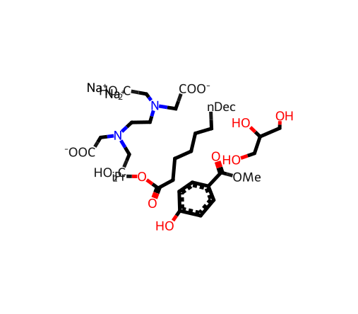 CCCCCCCCCCCCCCCC(=O)OC(C)C.COC(=O)c1ccc(O)cc1.O=C([O-])CN(CCN(CC(=O)[O-])CC(=O)O)CC(=O)O.OCC(O)CO.[Na+].[Na+]